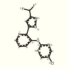 FC(F)c1cc(-c2ncccc2Oc2ncc(Cl)cn2)on1